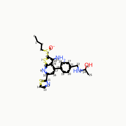 CCCC[S+]([O-])c1sc2nc(-c3nccs3)cc(-c3ccc(CNC(C)O)cc3)c2c1N